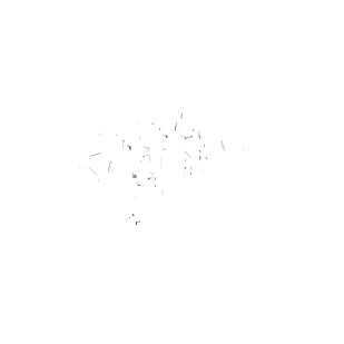 CCCCCOc1nc(NC2CCN(C(=O)C3CC(F)(F)C3)CC2)cc(C(=O)N2CC[C@@H](N3CCc4ccccc4C3)[C@H](O)C2)n1